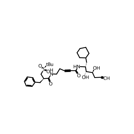 C#CC[C@H](O)[C@H](O)[C@@H](CC1CCCCC1)NC(=O)C#CCCNC(=O)[C@@H](Cc1ccccc1)CS(=O)(=O)C(C)(C)C